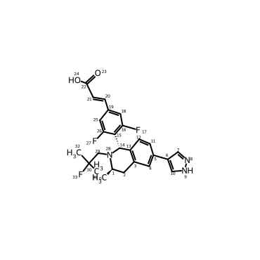 C[C@@H]1Cc2cc(-c3cn[nH]c3)ccc2[C@@H](c2c(F)cc(/C=C/C(=O)O)cc2F)N1CC(C)(C)F